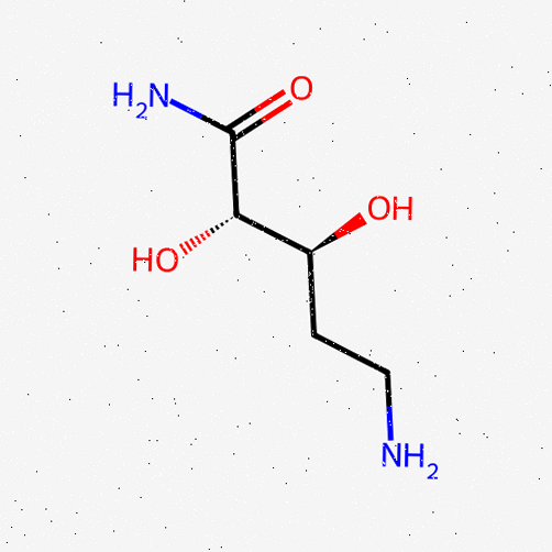 NCC[C@H](O)[C@H](O)C(N)=O